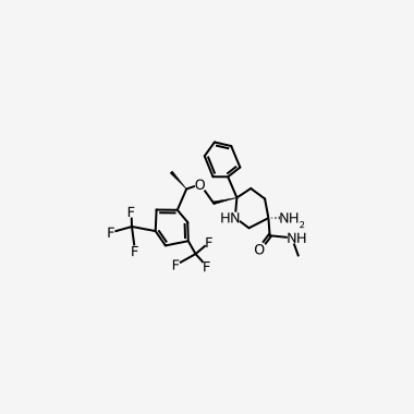 CNC(=O)[C@]1(N)CC[C@@](CO[C@H](C)c2cc(C(F)(F)F)cc(C(F)(F)F)c2)(c2ccccc2)NC1